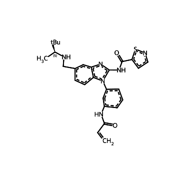 C=CC(=O)Nc1cccc(-n2c(NC(=O)c3ccns3)nc3cc(CN[C@@H](C)C(C)(C)C)ccc32)c1